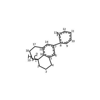 CC12CCCc3cc(-c4ccccn4)cc(c31)CCC2